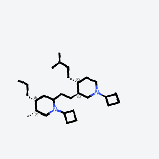 CCC[C@@H]1CC(CC[C@@H]2CN(C3CCC3)CC[C@H]2CCC(C)C)N(C2CCC2)C[C@@H]1C